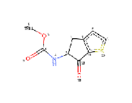 CC(C)(C)OC(=O)NC1Cc2ccsc2C1=O